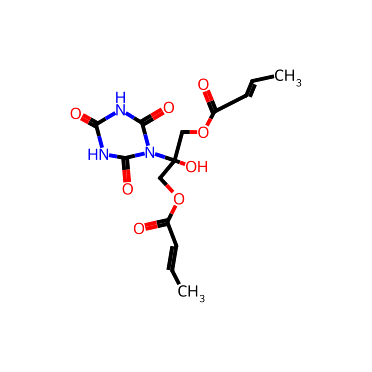 CC=CC(=O)OCC(O)(COC(=O)C=CC)n1c(=O)[nH]c(=O)[nH]c1=O